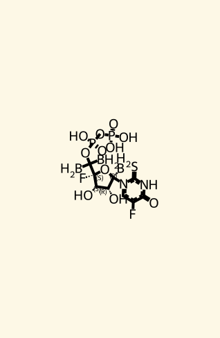 BC(B)(OP(=O)(O)OP(=O)(O)O)[C@@]1(F)O[C@@](B)(n2cc(F)c(=O)[nH]c2=S)[C@H](O)[C@@H]1O